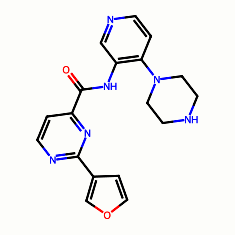 O=C(Nc1cnccc1N1CCNCC1)c1ccnc(-c2ccoc2)n1